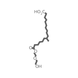 CC(CCCCCCCCCC(=O)O)CCCCCC(=O)OCCOCCO